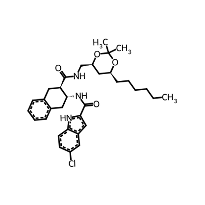 CCCCCC[C@H]1C[C@@H](CNC(=O)[C@@H]2Cc3ccccc3C[C@H]2NC(=O)c2cc3cc(Cl)ccc3[nH]2)OC(C)(C)O1